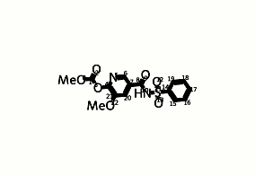 COC(=O)Oc1ncc(C(=O)NS(=O)(=O)c2ccccc2)cc1OC